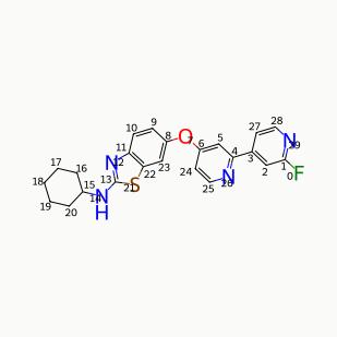 Fc1cc(-c2cc(Oc3ccc4nc(NC5CCCCC5)sc4c3)ccn2)ccn1